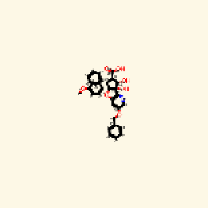 COc1ccc([C@@]23Oc4cc(OCc5ccccc5)cnc4C2(O)[C@H](O)[C@H](C(=O)O)[C@H]3c2ccccc2)cc1